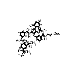 CCCCCCCCCCCCNC(=O)c1cccc(Sc2c(NC(=O)c3cccc(N(Oc4ccc(C(C)(C)CC)cc4C(C)(C)CC)C(C)=O)c3)nn(-c3c(Cl)cc(Cl)cc3Cl)c2OC(=O)CCC)c1